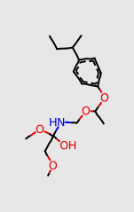 CCC(C)c1ccc(OC(C)OCNC(O)(COC)OC)cc1